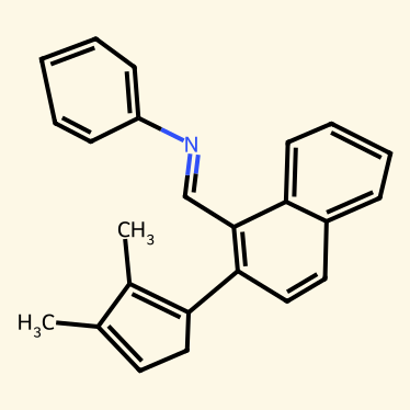 CC1=CCC(c2ccc3ccccc3c2C=Nc2ccccc2)=C1C